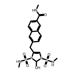 CNC(=O)c1ccc2cc(CC3=CN(S(=O)(=O)NC)C(O)N3S(=O)(=O)NC)ccc2c1